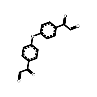 O=CC(=O)c1ccc(Oc2ccc(C(=O)C=O)cc2)cc1